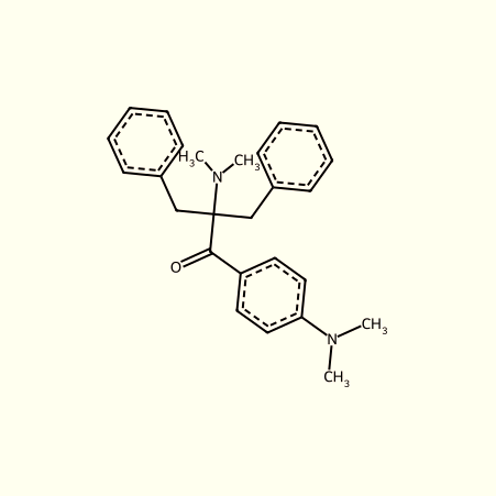 CN(C)c1ccc(C(=O)C(Cc2ccccc2)(Cc2ccccc2)N(C)C)cc1